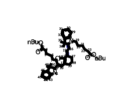 CCCCOC(=O)CCCCCC(=CC1=C(Cl)/C(=C/C=C2/N(CCCCCC(=O)OCCCC)c3ccccc3C2(C)C)CCC1)C1=Nc2ccccc2C1(C)C